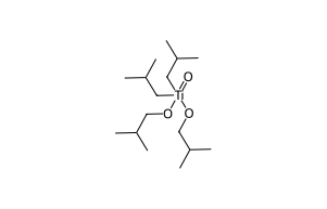 CC(C)C[O][Ti](=[O])([CH2]C(C)C)([CH2]C(C)C)[O]CC(C)C